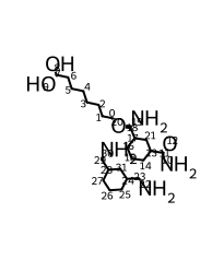 CCCCCCCC(O)O.NC(=O)C1CCCC(C(N)=O)C1.NCC1CCCC(CN)C1